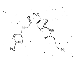 CCCC(=O)Nc1nc(C)c(C(=O)C=Cc2ccc(O)cc2)s1